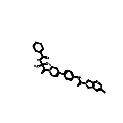 CC(C)(NC(=O)C1CCOCC1)C(=O)N1CC=C(c2ccc(NC(=O)N3Cc4cc(F)cnc4C3)cc2)CC1